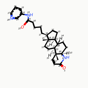 C[C@]12C=CC(=O)N[C@@H]1CC[C@@H]1[C@@H]2CC[C@]2(C)[C@@H](CCCCC(=O)Nc3cccnc3)CC[C@@H]12